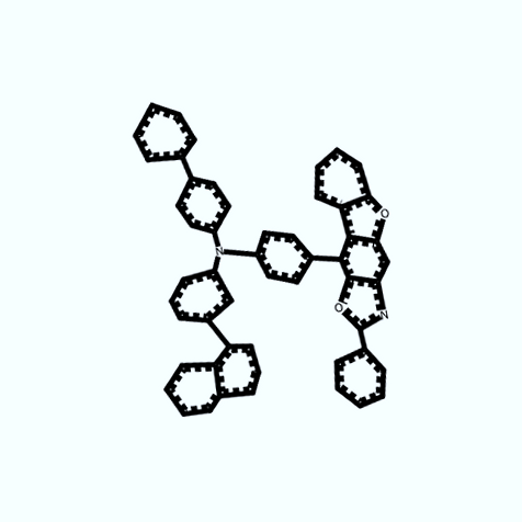 c1ccc(-c2ccc(N(c3ccc(-c4c5oc(-c6ccccc6)nc5cc5oc6ccccc6c45)cc3)c3cccc(-c4cccc5ccccc45)c3)cc2)cc1